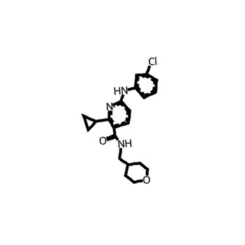 O=C(NCC1CCOCC1)c1ccc(Nc2cccc(Cl)c2)nc1C1CC1